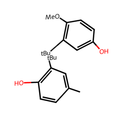 COc1ccc(O)cc1C(C)(C)C.Cc1ccc(O)c(C(C)(C)C)c1